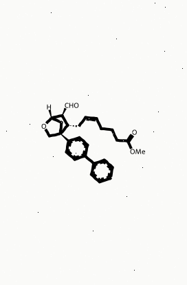 COC(=O)CCC/C=C\C[C@H]1[C@H](C=O)[C@@H]2C[C@@]1(c1ccc(-c3ccccc3)cc1)CO2